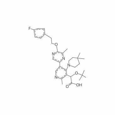 Cc1nc(-c2cnc(C)c(C(OC(C)(C)C)C(=O)O)c2N2CCC(C)(C)CC2)cnc1OCCc1ccc(F)cc1